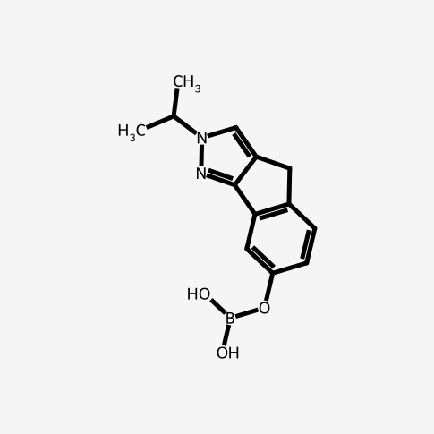 CC(C)n1cc2c(n1)-c1cc(OB(O)O)ccc1C2